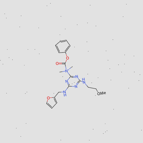 COCCNc1nc(NCc2ccco2)nc([N+](C)(C)C(=O)Oc2cc[c]cc2)n1